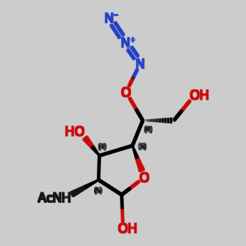 CC(=O)N[C@@H]1C(O)O[C@H]([C@@H](CO)ON=[N+]=[N-])[C@@H]1O